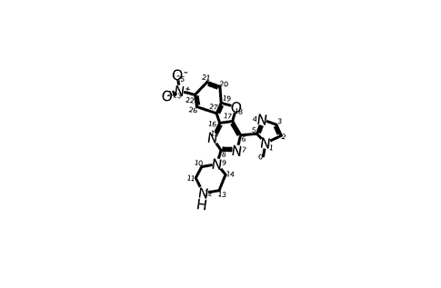 Cn1ccnc1-c1nc(N2CCNCC2)nc2c1oc1ccc([N+](=O)[O-])cc12